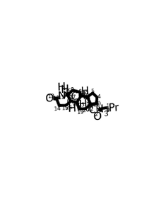 CC(C)C(=O)[C@H]1CC[C@H]2[C@@H]3CC[C@H]4NC(=O)CC[C@]4(C)[C@H]3CC[C@]12C